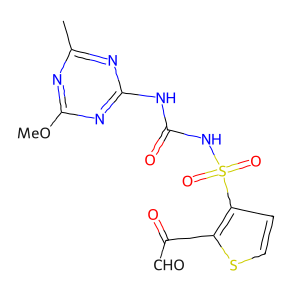 COc1nc(C)nc(NC(=O)NS(=O)(=O)c2ccsc2C(=O)C=O)n1